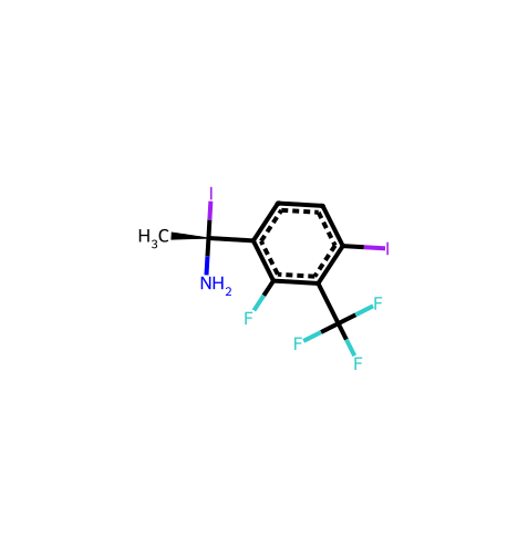 C[C@@](N)(I)c1ccc(I)c(C(F)(F)F)c1F